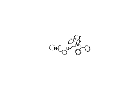 O=C(Cc1cccc(OCCCN(CC(c2ccccc2)c2ccccc2)C(c2ccccc2Cl)C(F)(F)F)c1)N1CCCCCC1